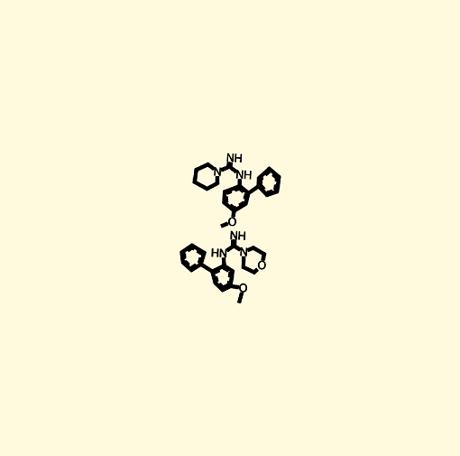 COc1ccc(-c2ccccc2)c(NC(=N)N2CCOCC2)c1.COc1ccc(NC(=N)N2CCCCC2)c(-c2ccccc2)c1